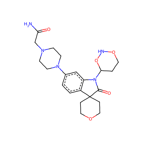 NC(=O)CN1CCN(c2ccc3c(c2)N(C2CCONO2)C(=O)C32CCOCC2)CC1